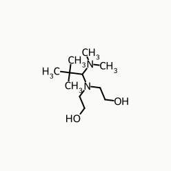 CN(C)C(N(CCO)CCO)C(C)(C)C